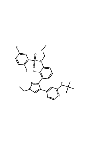 CCn1cc(-c2ccnc(NC(C)(C)C)c2)c(-c2cccc(N(COC)S(=O)(=O)c3cc(F)ccc3F)c2F)n1